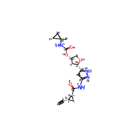 C#C[C@H]1C[C@@H]1C(=O)Nc1cc([C@@H]2C[C@H](OC(=O)NC3(C)CC3)CO2)[nH]n1